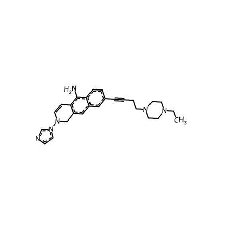 CCN1CCN(CCC#Cc2ccc3c(N)c4c(cc3c2)CN(n2ccnc2)C=C4)CC1